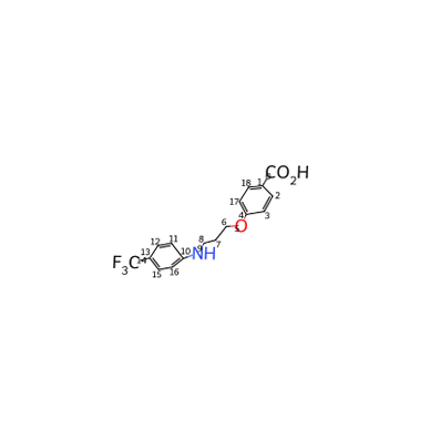 O=C(O)c1ccc(OCCCNc2ccc(C(F)(F)F)cc2)cc1